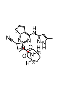 Cc1cc(Nc2nc(N(C)[C@@H]3C[C@H]4CC[C@@H](C3)N4S(=O)(=O)N3CC(C#N)C3)nc3sccc23)n[nH]1